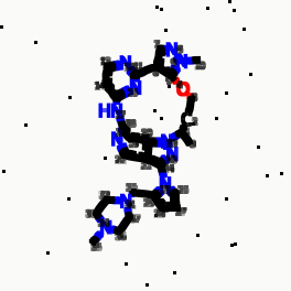 CC1CCOc2c(cnn2C)-c2nccc(n2)Nc2cc3c(cn2)c(-n2cccc2CN2CCN(C)CC2)nn31